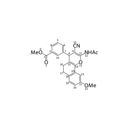 COC(=O)c1cccc(C2C(C#N)=C(NC(C)=O)OC3=C2CCc2ccc(OC)cc23)c1